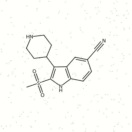 CS(=O)(=O)c1[nH]c2ccc(C#N)cc2c1C1CCNCC1